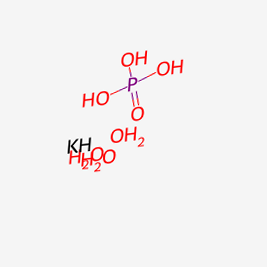 O.O.O.O=P(O)(O)O.[KH]